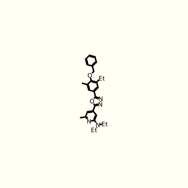 CCc1cc(-c2nnc(-c3cc(C)nc(N(CC)CC)c3)o2)cc(C)c1OCc1ccccc1